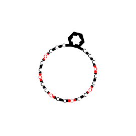 c1ccc2c(c1)CCCOCCOCCOCCOCCOCCOCCC2